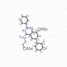 COCCN(C)c1nc(-c2cccnc2)nc2c(OC)cc(-c3cccc(F)c3F)cc12